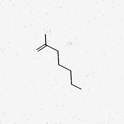 CCCC[C@@H](N)C(N)=O